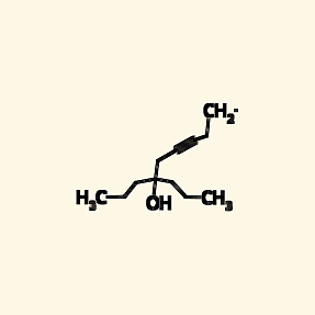 [CH2]CC#CCC(O)(CCC)CCC